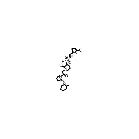 CC1CCCCN1C[C@@H]1CCCN1C(=O)CN1CCC[C@H](NS(=O)(=O)/C=C/c2ccc(Cl)s2)C1=O